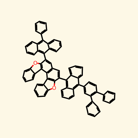 c1ccc(-c2ccc(-c3c4ccccc4c(-c4cc5cc(-c6c7ccccc7c(-c7ccccc7)c7ccccc67)c6oc7ccccc7c6c5c5c4oc4ccccc45)c4ccccc34)cc2-c2ccccc2)cc1